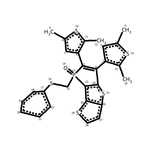 Cc1cc(C2=C(c3cc(C)sc3C)P(=O)(CSc3ccccc3)c3c2sc2ccsc32)c(C)s1